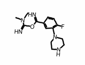 CN(C)C(=N)OC(=N)c1ccc(F)c(N2CCNCC2)c1